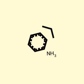 CCC.N.c1ccccc1